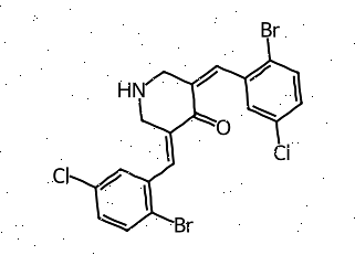 O=C1C(=Cc2cc(Cl)ccc2Br)CNCC1=Cc1cc(Cl)ccc1Br